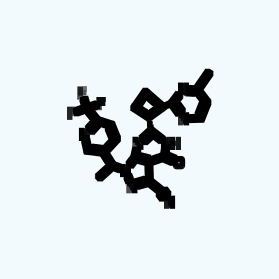 Cc1ccnc([C@@H]2CC[C@H]2c2nc3c(c(C#N)nn3C(C)c3ccc(C(F)(F)F)nc3)c(=O)[nH]2)n1